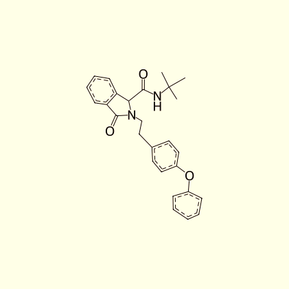 CC(C)(C)NC(=O)C1c2ccccc2C(=O)N1CCc1ccc(Oc2ccccc2)cc1